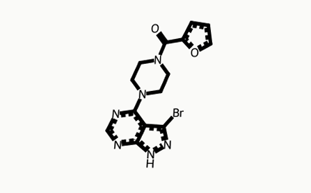 O=C(c1ccco1)N1CCN(c2ncnc3[nH]nc(Br)c23)CC1